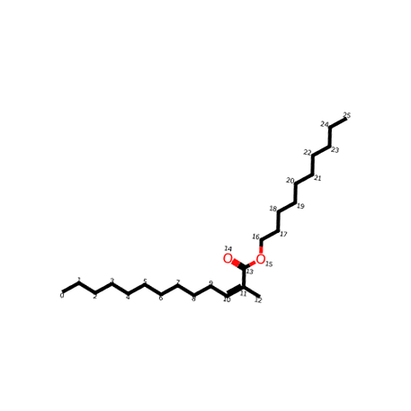 CCCCCCCCCCC=C(C)C(=O)OCCCCCCCCCC